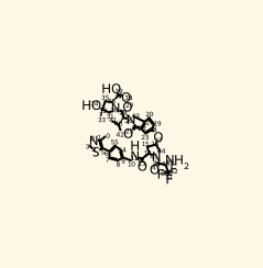 Cc1ncsc1-c1ccc(CNC(=O)C2C[C@@H](Oc3ccc4c(c3)C(=O)N([C@H](C(=O)N3C[C@](C)(O)C[C@H]3C(=O)O)C(C)C)C4)CN2C(=O)C(N)C(F)(F)F)cc1